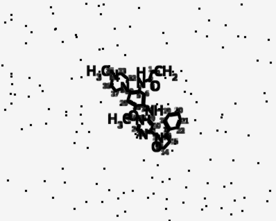 C=CC(=O)Nc1cc(Nc2cc(N3OCC[C@@H]3c3ccccc3)ncn2)c(OC)cc1N1CCN(C)CC1